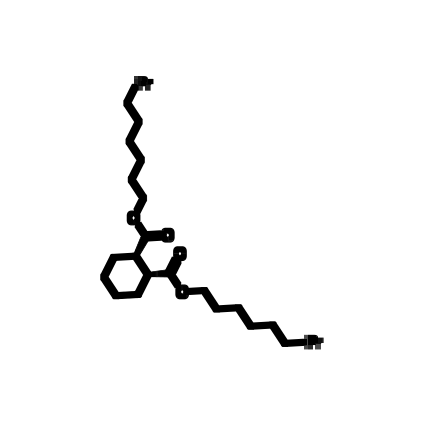 CC(C)CCCCCCOC(=O)[C@H]1CCCC[C@H]1C(=O)OCCCCCCC(C)C